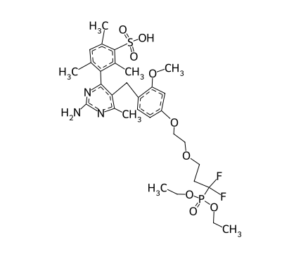 CCOP(=O)(OCC)C(F)(F)CCOCCOc1ccc(Cc2c(C)nc(N)nc2-c2c(C)cc(C)c(S(=O)(=O)O)c2C)c(OC)c1